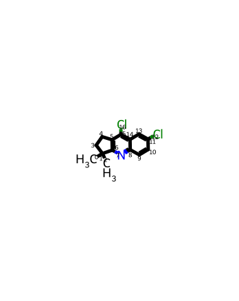 CC1(C)CCc2c1nc1ccc(Cl)cc1c2Cl